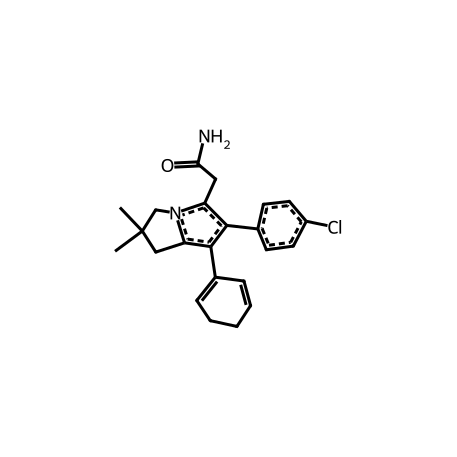 CC1(C)Cc2c(C3=CCCC=C3)c(-c3ccc(Cl)cc3)c(CC(N)=O)n2C1